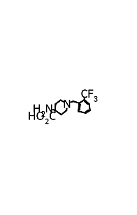 NC1(C(=O)O)CCN(Cc2ccccc2C(F)(F)F)CC1